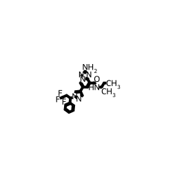 CCC(C)NC(=O)c1cc(-c2cnn(C(CC(F)(F)F)c3ccccc3)c2)cn2nc(N)nc12